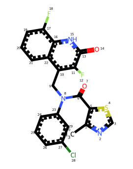 Cc1ncsc1C(=O)N(Cc1c(F)c(=O)[nH]c2c(F)cccc12)c1cccc(Cl)c1